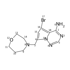 Nc1ncnn2c(CN3CCCOCC3)cc(Br)c12